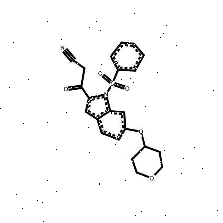 N#CCC(=O)c1cc2ccc(OC3CCOCC3)cc2n1S(=O)(=O)c1ccccc1